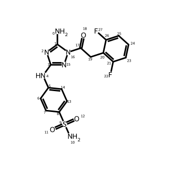 Nc1nc(Nc2ccc(S(N)(=O)=O)cc2)nn1C(=O)Cc1c(F)cccc1F